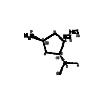 CN(C)[C@H]1CC[C@H](N)C1.Cl.Cl